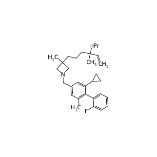 C=CC(C)(CCC)CCCC1(C)CN(Cc2cc(C)c(-c3ccccc3F)c(C3CC3)c2)C1